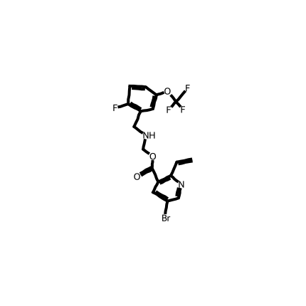 C=Cc1ncc(Br)cc1C(=O)OCNCc1cc(OC(F)(F)F)ccc1F